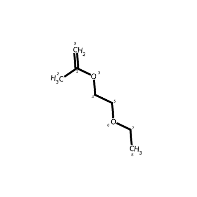 C=C(C)OCCOCC